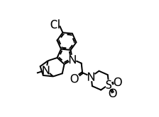 CN1C2CCC1c1c(n(CC(=O)N3CCS(=O)(=O)CC3)c3ccc(Cl)cc13)C2